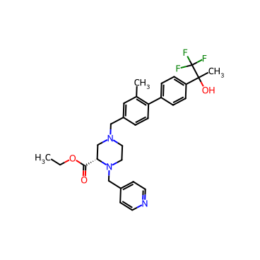 CCOC(=O)[C@@H]1CN(Cc2ccc(-c3ccc(C(C)(O)C(F)(F)F)cc3)c(C)c2)CCN1Cc1ccncc1